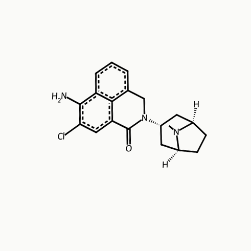 CN1[C@@H]2CC[C@H]1C[C@H](N1Cc3cccc4c(N)c(Cl)cc(c34)C1=O)C2